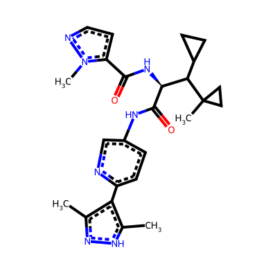 Cc1n[nH]c(C)c1-c1ccc(NC(=O)[C@@H](NC(=O)c2ccnn2C)C(C2CC2)C2(C)CC2)cn1